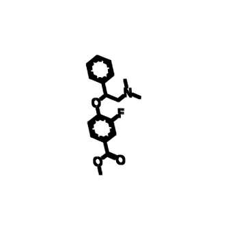 COC(=O)c1ccc(OC(CN(C)C)c2ccccc2)c(F)c1